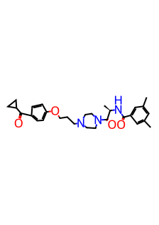 Cc1cc(C)cc(C(=O)N[C@H](C)C(=O)N2CCN(CCCOc3ccc(C(=O)C4CC4)cc3)CC2)c1